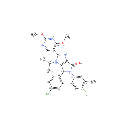 COc1ncc(-c2nc3c(n2C(C)C)C(c2ccc(Cl)cc2)N(c2ccc(F)c(C)c2)C3=O)c(OC)n1